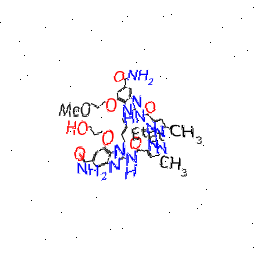 CCn1nc(C)cc1C(=O)Nc1nc2cc(C(N)=O)cc(OCCCO)c2n1C/C=C/Cn1c(NC(=O)c2cc(C)nn2CC)nc2cc(C(N)=O)cc(OCCCOC)c21